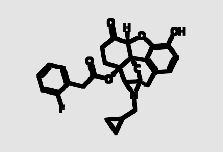 O=C(Cc1ccccc1F)O[C@@]12CCC(=O)[C@@H]3Oc4c(O)ccc5c4[C@@]31C[C@]1(C5)C2N1CC1CC1